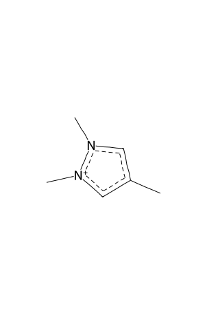 Cc1cn(C)[n+](C)c1